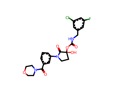 O=C(NCc1cc(F)cc(Cl)c1)O[C@]1(O)CCN(c2cccc(C(=O)N3CCOCC3)c2)C1=O